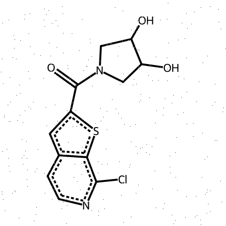 O=C(c1cc2ccnc(Cl)c2s1)N1CC(O)C(O)C1